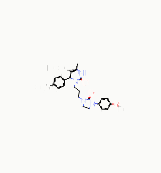 CCOc1ccc(N2CCN(CCCN3C(=O)NC(C)=C(C(=O)O)C3c3ccc([N+](=O)[O-])cc3)C2=O)cc1